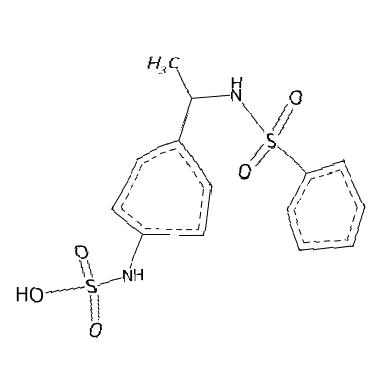 CC(NS(=O)(=O)c1ccccc1)c1ccc(NS(=O)(=O)O)cc1